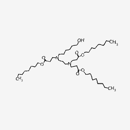 CCCCCCCCOC(=O)CCN(CCCCCCO)CCCN(CCC(=O)OCCCCCCCC)CCC(=O)OCCCCCCCC